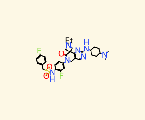 CCN1CC2(C1)C(=O)N(c1ccc(NS(=O)(=O)Cc3ccc(F)cc3)c(F)c1)Cc1cnc(NC3CCC(N(C)C)CC3)nc12